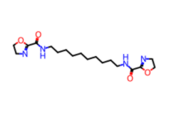 O=C(NCCCCCCCCCCNC(=O)C1=NCCO1)C1=NCCO1